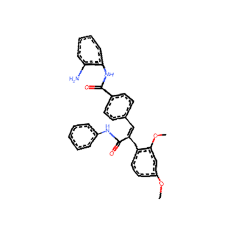 COc1ccc(C(=Cc2ccc(C(=O)Nc3ccccc3N)cc2)C(=O)Nc2ccccc2)c(OC)c1